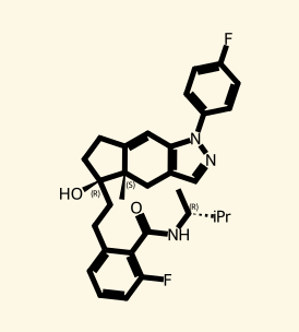 CC(C)[C@@H](C)NC(=O)c1c(F)cccc1CC[C@]1(O)CCC2=Cc3c(cnn3-c3ccc(F)cc3)C[C@@]21C